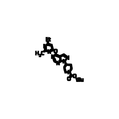 CCc1cc(Oc2ncnc3c2cnn3C2CCN(C(=O)OC(C)(C)C)CC2)nc(C)n1